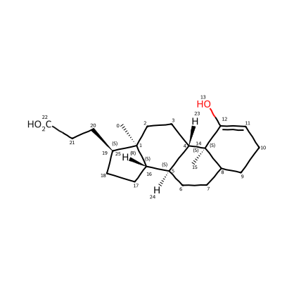 C[C@]12CC[C@H]3[C@@H](CCC4CCC=C(O)[C@@]43C)[C@@H]1CC[C@H]2CCC(=O)O